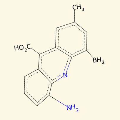 Bc1cc(C)cc2c(C(=O)O)c3cccc(N)c3nc12